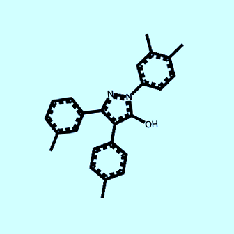 Cc1ccc(-c2c(-c3cccc(C)c3)nn(-c3ccc(C)c(C)c3)c2O)cc1